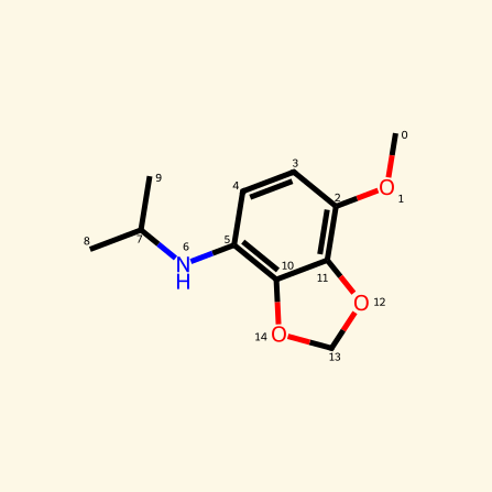 COc1ccc(NC(C)C)c2c1OCO2